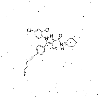 CCc1c(C(=O)NN2CCCCC2)nn(-c2ccc(Cl)cc2Cl)c1-c1ccc(C#CCCCF)cc1